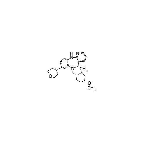 CO[C@@H]1CC[C@H](CN2Cc3cccnc3Nc3ccc(N4CCOCC4)cc32)[C@H](C)C1